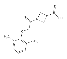 Cc1c[c]cc(C)c1OCC(=O)N1CC(C(=O)O)C1